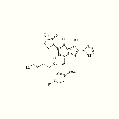 C/C=C/CCO[C@@H](Cn1c(=O)n([C@H]2CCN(C)C2=O)c(=O)c2c(C)c(-n3nccn3)sc21)c1cc(F)ccc1OC